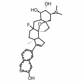 CN(C)[C@H]1C[C@@]23CC[C@]4(O2)C2CC=C(c5ccc6cnc(O)cc6c5)[C@@]2(C)CCC4(F)CC3[C@@H](O)[C@@H]1O